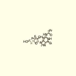 CC(C)C(=O)Nc1nc2c(ncn2[C@@H]2O[C@H](CCO)C(F)(F)[C@H]2O)c(=O)[nH]1